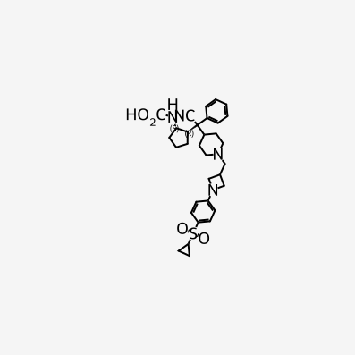 N#CC(c1ccccc1)(C1CCN(CC2CN(c3ccc(S(=O)(=O)C4CC4)cc3)C2)CC1)[C@H]1CCC[C@@H]1NC(=O)O